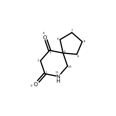 O=C1CC(=O)C2(CCCC2)CN1